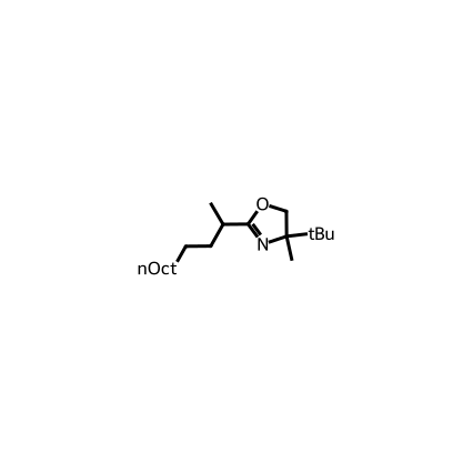 CCCCCCCCCCC(C)C1=NC(C)(C(C)(C)C)CO1